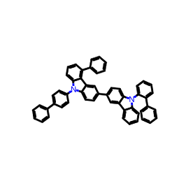 c1ccc(-c2ccc(-n3c4ccc(-c5ccc6c(c5)c5ccccc5n6-c5ccccc5-c5ccccc5)cc4c4c(-c5ccccc5)cccc43)cc2)cc1